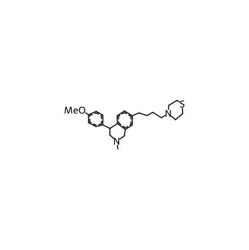 COc1ccc(C2CN(C)Cc3cc(CCCCN4CCSCC4)ccc32)cc1